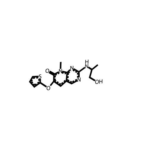 CC(CO)Nc1ncc2cc(Oc3cccs3)c(=O)n(C)c2n1